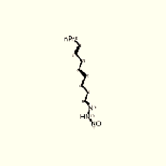 CCC/C=C/C/C=C/CC/C=N/NN=O